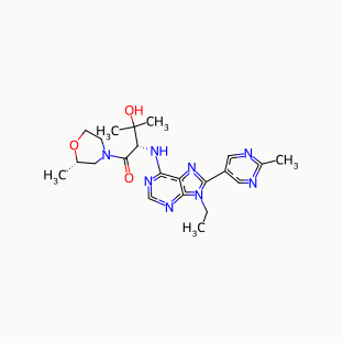 CCn1c(-c2cnc(C)nc2)nc2c(N[C@H](C(=O)N3CCO[C@@H](C)C3)C(C)(C)O)ncnc21